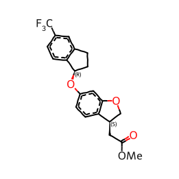 COC(=O)C[C@@H]1COc2cc(O[C@@H]3CCc4cc(C(F)(F)F)ccc43)ccc21